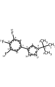 CC(C)(C)n1cc(-c2cc(F)c(F)c(F)c2)nn1